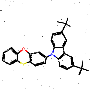 CC(C)(C)c1ccc2c(c1)c1cc(C(C)(C)C)ccc1n2-c1ccc2c(c1)Oc1ccccc1S2